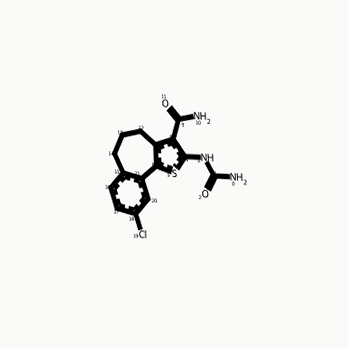 NC(=O)Nc1sc2c(c1C(N)=O)CCCc1ccc(Cl)cc1-2